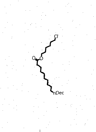 CCCCCCCCCCCCCCCCCCCC(=O)OCCCCCCCl